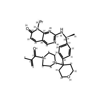 C=C(C)C(=O)N1CCN(C2(c3ccc([C@H](C)Nc4ncc5ccc(=O)n(C(C)C)c5n4)cc3)CCOCC2)CC1